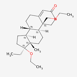 CCOC[C@]12CCC(=O)C=C1CC[C@@H]1[C@@H]2CC[C@@]2(C)[C@H]1CC[C@]2(CC)OCC